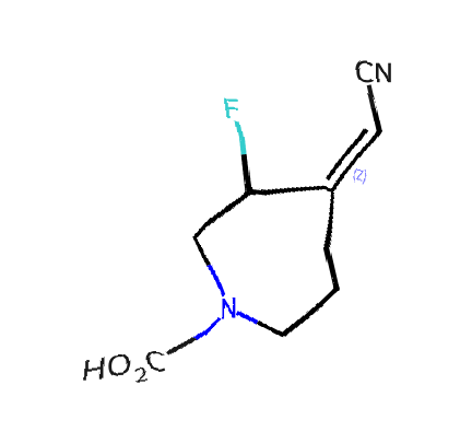 N#C/C=C1/CCN(C(=O)O)CC1F